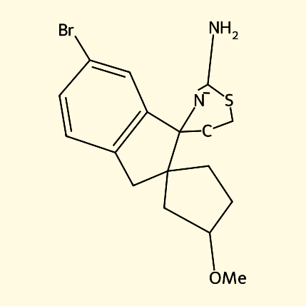 COC1CCC2(Cc3ccc(Br)cc3C23CCSC(N)=N3)C1